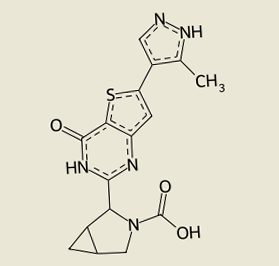 Cc1[nH]ncc1-c1cc2nc(C3C4CC4CN3C(=O)O)[nH]c(=O)c2s1